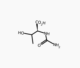 CC(O)[C@H](NC(N)=O)C(=O)O